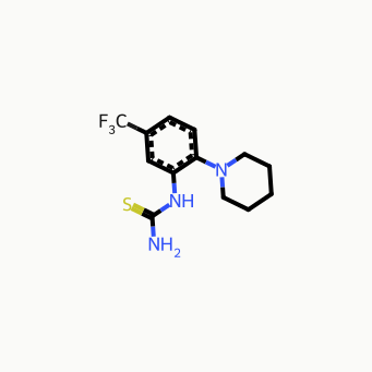 NC(=S)Nc1cc(C(F)(F)F)ccc1N1CCCCC1